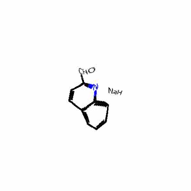 O=Cc1ccc2ccccc2n1.[NaH]